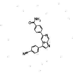 N#Cc1ccc(-c2cnc3cnc(-c4ccc(C(N)=O)cc4)cn23)cc1